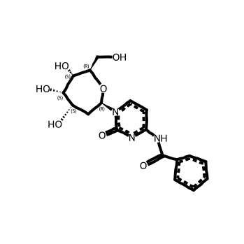 O=C(Nc1ccn([C@H]2C[C@H](O)[C@H](O)[C@H](O)[C@@H](CO)O2)c(=O)n1)c1ccccc1